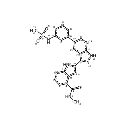 CNC(=O)c1ccnc2[nH]c(-c3n[nH]c4ncc(-c5cncc(NS(C)(=O)=O)c5)cc34)nc12